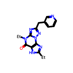 CCc1nc2c([nH]1)c(=O)n(CC)c1nc(Cc3cccnc3)nn21